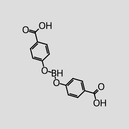 O=C(O)c1ccc(OBOc2ccc(C(=O)O)cc2)cc1